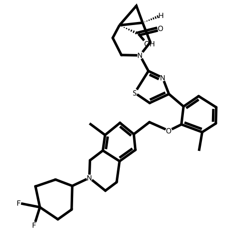 Cc1cc(COc2c(C)cccc2-c2csc(N3CC[C@@]4(C(=O)O)C[C@H]4C3)n2)cc2c1CN(C1CCC(F)(F)CC1)CC2